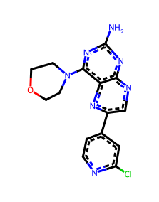 Nc1nc(N2CCOCC2)c2nc(-c3ccnc(Cl)c3)cnc2n1